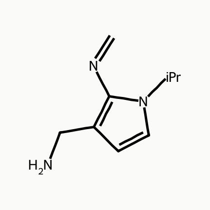 C=Nc1c(CN)ccn1C(C)C